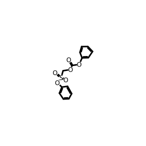 O=C(OCS(=O)(=O)Oc1ccccc1)Oc1ccccc1